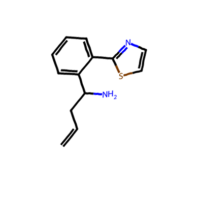 C=CCC(N)c1ccccc1-c1nccs1